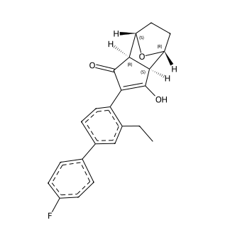 CCc1cc(-c2ccc(F)cc2)ccc1C1=C(O)[C@H]2[C@@H](C1=O)[C@@H]1CC[C@H]2O1